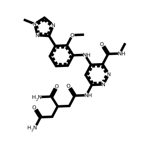 CNC(=O)c1nnc(NC(=O)CC(CC(N)=O)C(N)=O)cc1Nc1cccc(-c2ncn(C)n2)c1OC